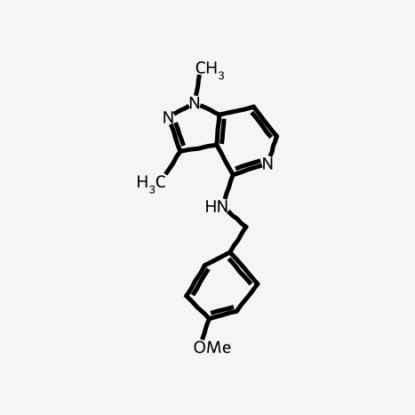 COc1ccc(CNc2nccc3c2c(C)nn3C)cc1